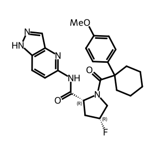 COc1ccc(C2(C(=O)N3C[C@H](F)C[C@@H]3C(=O)Nc3ccc4[nH]ncc4n3)CCCCC2)cc1